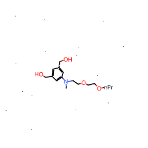 CCCOCCOCCN(C)c1cc(CO)cc(CO)c1